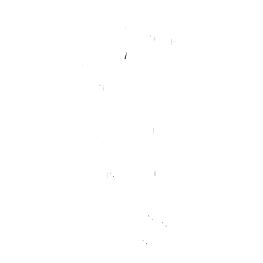 Cc1c(-c2[nH]c3sc(C4CCN(C(=O)[C@H]5C[C@@]6(CN(C)CCO6)C5)CC4)c(C)c3c2C(C)C)cn2ncnc2c1C